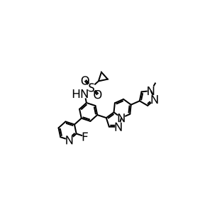 Cn1cc(-c2ccc3c(-c4cc(NS(=O)(=O)C5CC5)cc(-c5cccnc5F)c4)cnn3c2)cn1